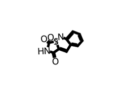 O=C1NC(=O)C(=Cc2ccccc2[N+](=O)[O-])S1